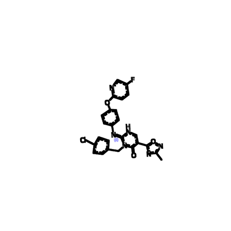 Cc1noc(-c2c[nH]/c(=N\c3ccc(Oc4ccc(F)cn4)cc3)n(Cc3ccc(Cl)cc3)c2=O)n1